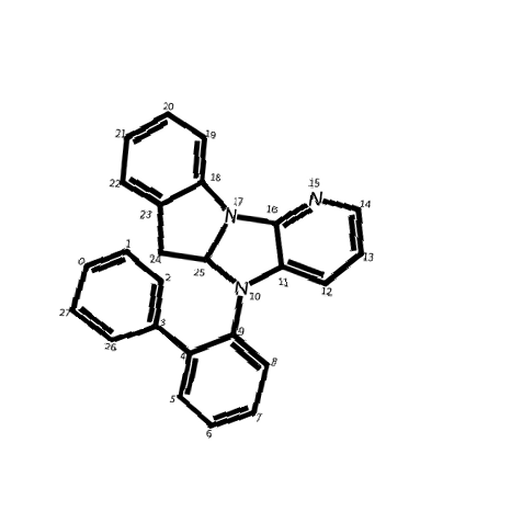 c1ccc(-c2ccccc2N2c3cccnc3N3c4ccccc4CC23)cc1